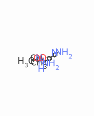 CC(C)(C)c1cc(NC(=O)C(N)c2ccc(-c3ccc(N)nc3)cc2)no1